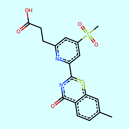 Cc1ccc2c(=O)nc(-c3cc(S(C)(=O)=O)cc(CCC(=O)O)n3)sc2c1